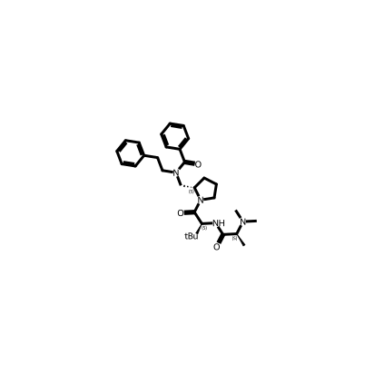 C[C@@H](C(=O)N[C@H](C(=O)N1CCC[C@H]1CN(CCc1ccccc1)C(=O)c1ccccc1)C(C)(C)C)N(C)C